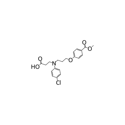 COC(=O)c1ccc(OCCCN(CCC(=O)O)c2ccc(Cl)cc2)cc1